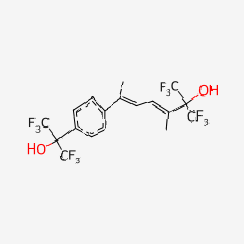 C/C(=C\C=C(/C)C(O)(C(F)(F)F)C(F)(F)F)c1ccc(C(O)(C(F)(F)F)C(F)(F)F)cc1